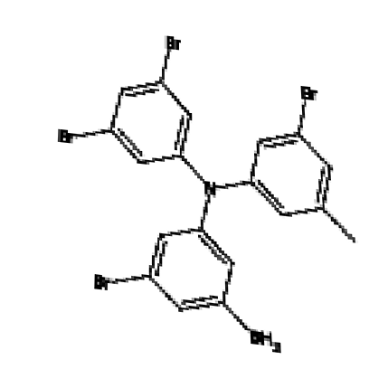 Bc1cc(Br)cc(N(c2cc(C)cc(Br)c2)c2cc(Br)cc(Br)c2)c1